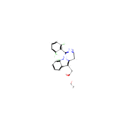 CCOC(=O)Cc1c2n(c3ccccc13)C(c1c(Cl)cccc1Cl)=NCC2